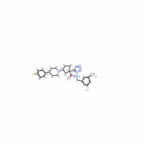 O=C(NCc1cc(F)cc(C(F)(F)F)c1)C1(c2nnn[nH]2)CCC(N2CCC(c3ccc(F)cc3)CC2)C1